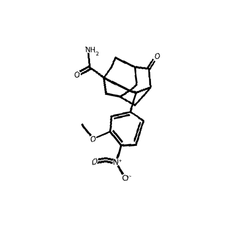 COc1cc(C2C3CC4CC(CC2(C(N)=O)C4)C3=O)ccc1[N+](=O)[O-]